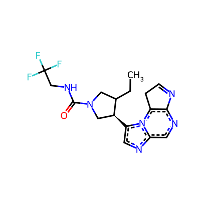 CCC1CN(C(=O)NCC(F)(F)F)C[C@@H]1c1cnc2cnc3c(n12)CC=N3